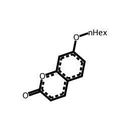 CCCCCCOc1ccc2ccc(=O)oc2c1